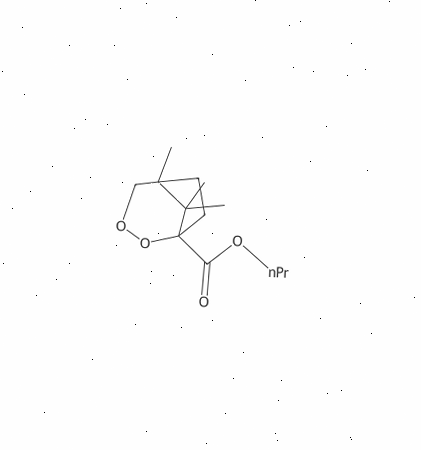 CCCOC(=O)C12CCC(C)(COO1)C2(C)C